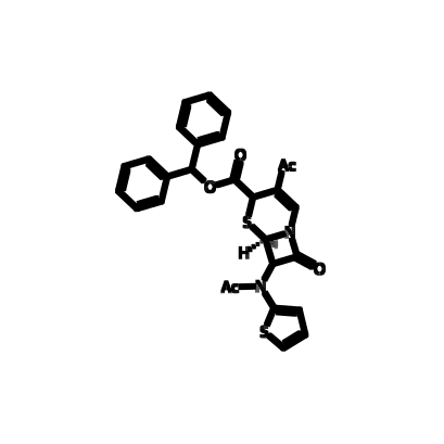 CC(=O)C1=CN2C(=O)C(N(C(C)=O)c3cccs3)[C@H]2SC1C(=O)OC(c1ccccc1)c1ccccc1